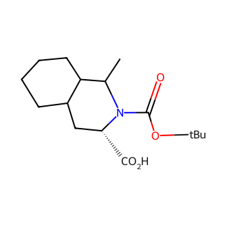 CC1C2CCCCC2C[C@@H](C(=O)O)N1C(=O)OC(C)(C)C